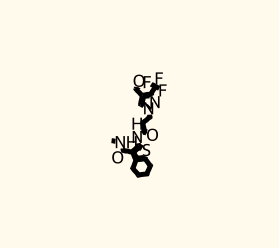 CNC(=O)c1c(NC(=O)CCn2cc(C=O)c(C(F)(F)F)n2)sc2c1CCCC2